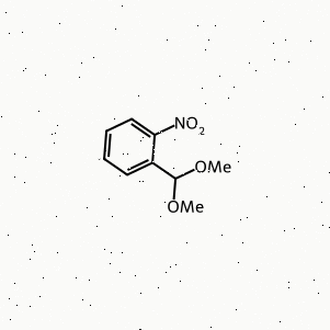 COC(OC)c1c[c]ccc1[N+](=O)[O-]